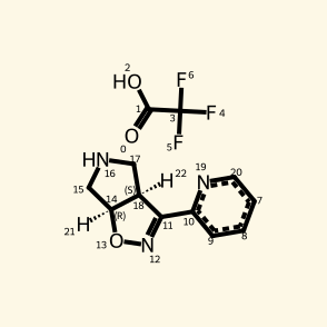 O=C(O)C(F)(F)F.c1ccc(C2=NO[C@H]3CNC[C@@H]23)nc1